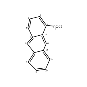 CCCCCCCCc1cccc2cc3cc[c]cc3cc12